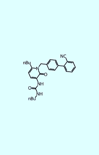 CCCCNC(=O)Nc1ccc(CCCC)n(Cc2ccc(-c3ccccc3C#N)cc2)c1=O